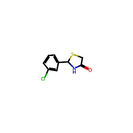 O=C1CSC(c2cccc(Cl)c2)N1